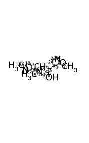 COc1cc(CC[C@]2(CO)CCN(C(C)(C)c3ccc(C)nc3)C2)ccn1